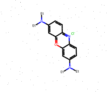 CCN(CC)c1ccc2nc3ccc(N(CC)CC)cc3[o+]c2c1.[Cl-]